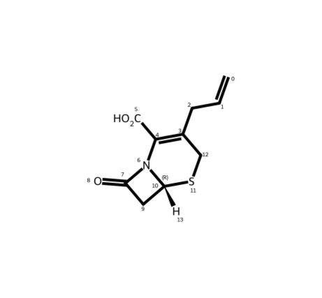 C=CCC1=C(C(=O)O)N2C(=O)C[C@H]2SC1